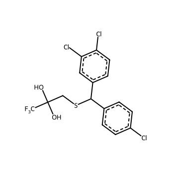 OC(O)(CSC(c1ccc(Cl)cc1)c1ccc(Cl)c(Cl)c1)C(F)(F)F